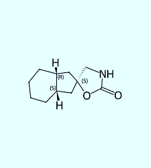 O=C1NC[C@]2(C[C@H]3CCCC[C@H]3C2)O1